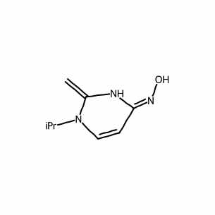 C=C1N/C(=N\O)C=CN1C(C)C